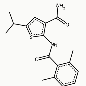 Cc1cccc(C)c1C(=O)Nc1sc(C(C)C)cc1C(N)=O